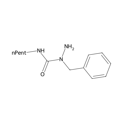 CCCCCNC(=O)N(N)Cc1ccccc1